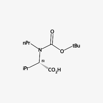 CCCN(C(=O)OC(C)(C)C)[C@H](C(=O)O)C(C)C